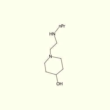 CCCNCCN1CCC(O)CC1